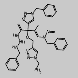 C=NN(/C=C(\C)C(OCc1cn(CP)nn1)(C(=C)NNNCc1ccccc1)c1cn(Cc2ccccc2)nn1)Cc1ccccc1